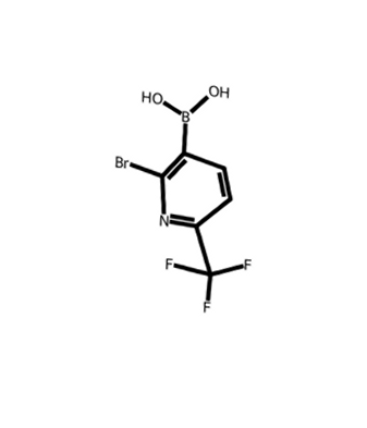 OB(O)c1ccc(C(F)(F)F)nc1Br